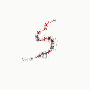 COC(=O)CCCCCCC(=O)Nc1ccc(C(=O)NCCC(=O)NCCC(=O)Nc2cc(C(=O)Nc3cc(C(=O)NCCC(=O)Nc4cc(C(=O)Nc5cc(C(=O)Nc6cc(C(=O)NCCCC(=O)Cc7cn(C)c(C(=O)Cc8cn(C)c(C(=O)Cc9cn(C)c(C(=O)CCCC(=O)Cc%10cc(C(=O)Cc%11cn(C)c(C(=O)CCCC(=O)CCCCN(C)C)n%11)n(C)c%10)n9)n8)n7)n(C)c6)n(C)c5)n(C)c4)n(C)c3)n(C)c2)cc1